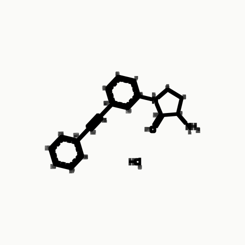 Cl.NC1CCN(c2cccc(C#Cc3ccccc3)c2)C1=O